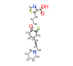 O=C(O)c1ncsc1CCCOc1ccc(C#CCN2CCCCC2)cc1F